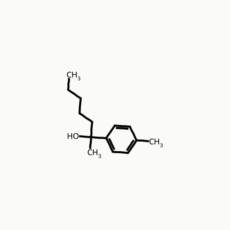 CCCCCC(C)(O)c1ccc(C)cc1